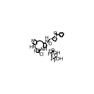 O=C(C[C@@H]1CCCN(C(=O)c2ccccc2)C1)Nc1ccc2cc1CCc1cncc(c1)Nc1ncc(Cl)c(n1)N2.O=C(O)C(F)(F)F.O=C(O)C(F)(F)F